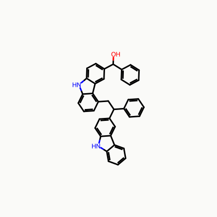 OC(c1ccccc1)c1ccc2[nH]c3cccc(CC(c4ccccc4)c4ccc5[nH]c6ccccc6c5c4)c3c2c1